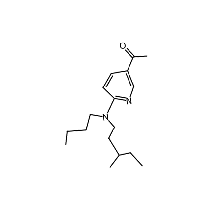 CCCCN(CCC(C)CC)c1ccc(C(C)=O)cn1